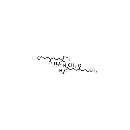 CCCCC(=O)CCCC(C)(C)N=NC(C)(C)CCCC(=O)CCCC